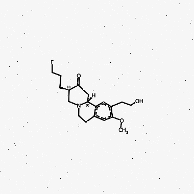 COc1cc2c(cc1CCO)[C@H]1CC(=O)[C@H](CCCF)CN1CC2